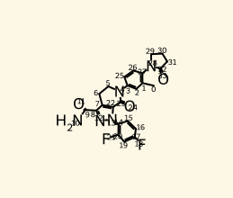 Cc1cc(N2CCc3c(C(N)=O)nn(-c4ccc(F)cc4F)c3C2=O)ccc1N1CCCC1=O